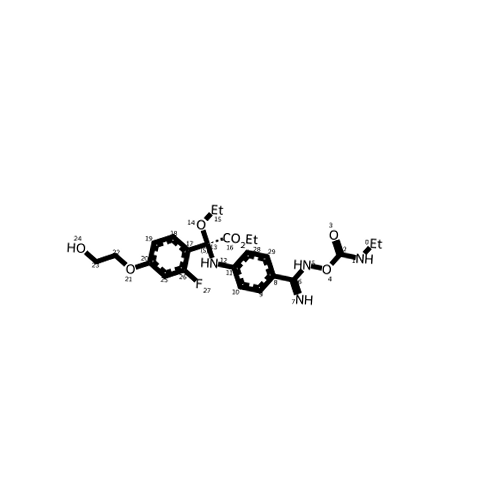 CCNC(=O)ONC(=N)c1ccc(N[C@@](OCC)(C(=O)OCC)c2ccc(OCCO)cc2F)cc1